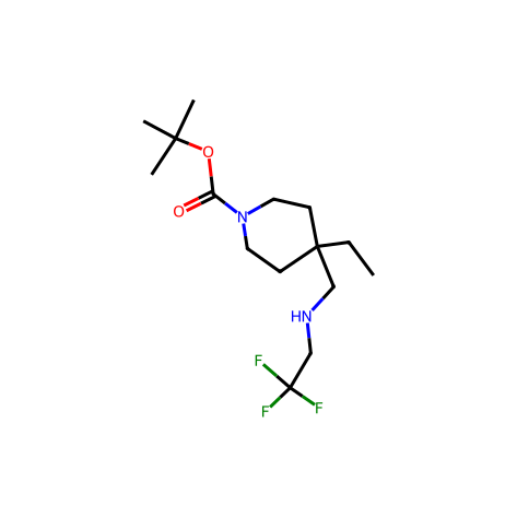 CCC1(CNCC(F)(F)F)CCN(C(=O)OC(C)(C)C)CC1